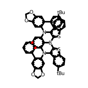 Cc1cc2c3c(c1)N(c1cc4c(cc1-c1ccccc1)OCO4)c1c(sc4ccc(C(C)(C)C)cc14)B3c1sc3ccc(C(C)(C)C)cc3c1N2c1cc2c(cc1-c1ccccc1)OCO2